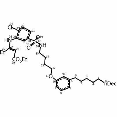 CCCCCCCCCCCCCCCc1cccc(OCCCCNS(=O)(=O)c2ccc(Cl)c(NC(=CC(=O)OCC)CC)c2)c1